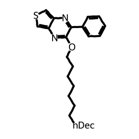 CCCCCCCCCCCCCCCCCOc1nc2cscc2nc1-c1ccccc1